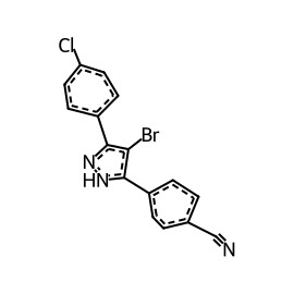 N#Cc1ccc(-c2[nH]nc(-c3ccc(Cl)cc3)c2Br)cc1